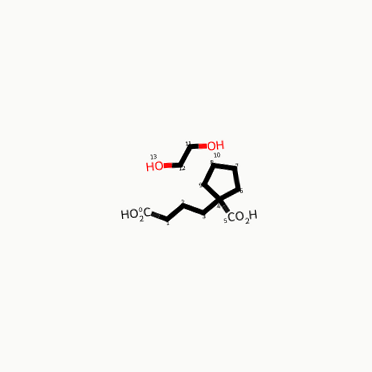 O=C(O)CCCC1(C(=O)O)CCCC1.OCCO